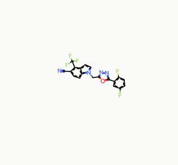 N#Cc1ccc2c(ccn2Cc2nnc(-c3cc(F)ccc3F)o2)c1C(F)(F)F